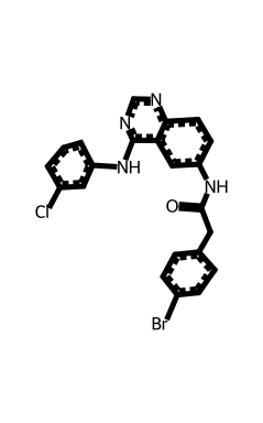 O=C(Cc1ccc(Br)cc1)Nc1ccc2ncnc(Nc3cccc(Cl)c3)c2c1